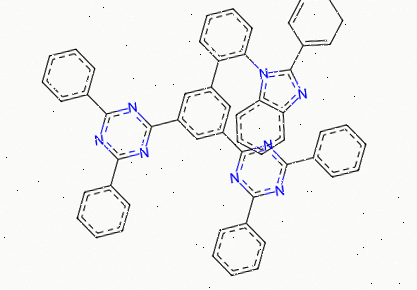 C1=CC(c2nc3ccccc3n2-c2ccccc2-c2cc(-c3nc(-c4ccccc4)nc(-c4ccccc4)n3)cc(-c3nc(-c4ccccc4)nc(-c4ccccc4)n3)c2)=CCC1